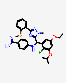 CCOc1cc(OC(C)C)c(F)c(C(Nc2ccc(C(=N)N)cc2)c2nc(-c3ccccc3SC)nn2C)c1